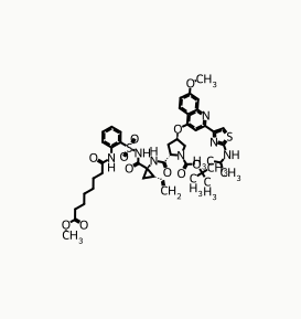 C=C[C@@H]1C[C@]1(NC(=O)[C@@H]1C[C@@H](Oc2cc(-c3csc(NC(C)C)n3)nc3cc(OC)ccc23)CN1C(=O)OC(C)(C)C)C(=O)NS(=O)(=O)c1ccccc1NC(=O)CCCCCCC(=O)OC